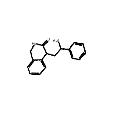 NC(CC1C(=O)NCc2ccccc21)c1ccccc1